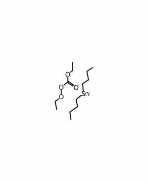 CCC[CH2][Sn][CH2]CCC.CCOOC(=O)OCC